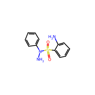 Nc1ccccc1S(=O)(=O)N(N)c1ccccc1